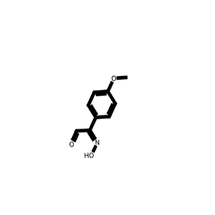 COc1ccc(C([C]=O)=NO)cc1